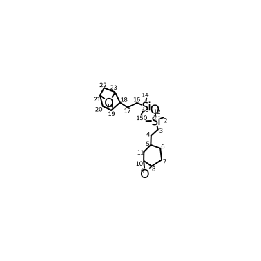 C[Si](C)(CCC1CCC2OC2C1)O[Si](C)(C)CCC1CCC2CC1O2